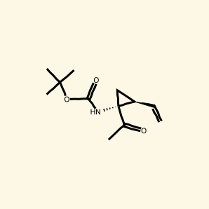 C=C[C@@H]1C[C@]1(NC(=O)OC(C)(C)C)C(C)=O